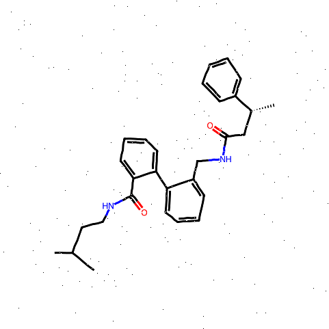 CC(C)CCNC(=O)c1ccccc1-c1ccccc1CNC(=O)C[C@@H](C)c1ccccc1